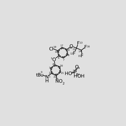 CC(C)(C)Nc1cc(Oc2ccc(OC(F)(F)C(F)F)cc2Cl)ccc1[N+](=O)[O-].O=[PH](O)O